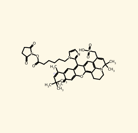 C=c1cc2c(cc1/C(C)=C\C(C)(C)C)=C(c1nccn1CCCCCC(=O)ON1C(=O)CCC1=O)c1cc3c4c(c1O2)CCCN4C(C)(C)C=C3CS(=O)(=O)O